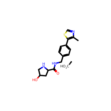 CC(=O)O.Cc1ncsc1-c1ccc(CNC(=O)C2CC(O)CN2)cc1